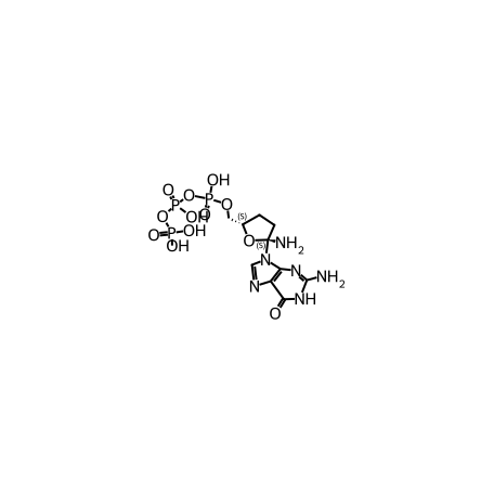 Nc1nc2c(ncn2[C@@]2(N)CC[C@@H](COP(=O)(O)OP(=O)(O)OP(=O)(O)O)O2)c(=O)[nH]1